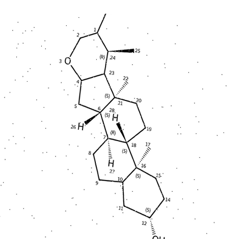 CC1COC2C[C@H]3[C@@H]4CCC5C[C@@H](O)CC[C@]5(C)[C@H]4CC[C@]3(C)C2[C@@H]1C